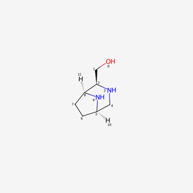 OC[C@H]1NC[C@H]2CC[C@@H]1N2